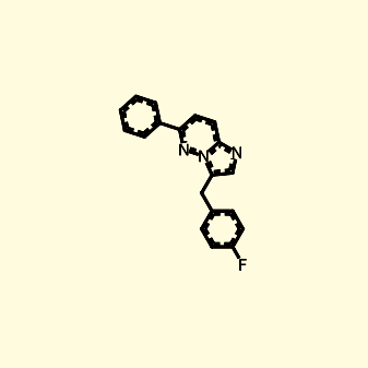 Fc1ccc(Cc2cnc3ccc(-c4ccccc4)nn23)cc1